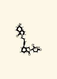 O=C1CCC(N2Cc3c(C#CCCn4ccc5cc(Br)ccc5c4=O)cccc3C2=O)C(=O)N1